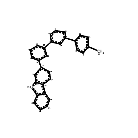 Cc1ccc(-c2cccc(-c3cccc(-c4ccc5c(c4)oc4ccccc45)c3)c2)cc1